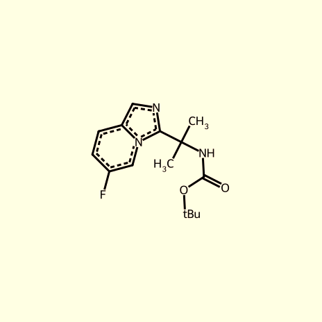 CC(C)(C)OC(=O)NC(C)(C)c1ncc2ccc(F)cn12